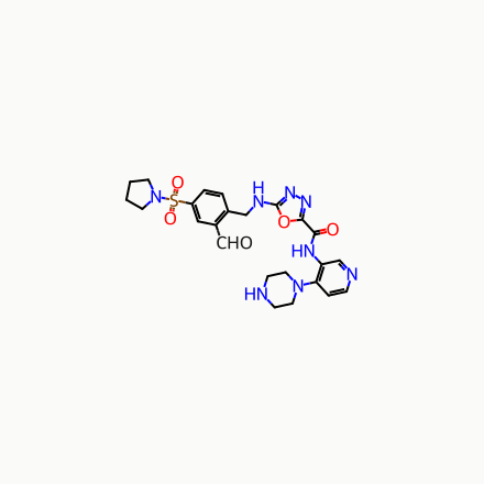 O=Cc1cc(S(=O)(=O)N2CCCC2)ccc1CNc1nnc(C(=O)Nc2cnccc2N2CCNCC2)o1